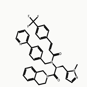 Cn1nccc1C[C@@H](C(=O)N1CCc2ccccc2C1)N(Cc1ccc(-c2ccccn2)cc1)C(=O)/C=C/c1ccc(C(F)(F)F)cc1